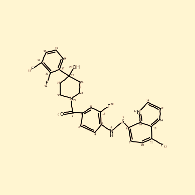 O=C(c1ccc(NSc2ccc(F)c3cccnc23)c(F)c1)N1CCC(O)(c2cccc(F)c2F)CC1